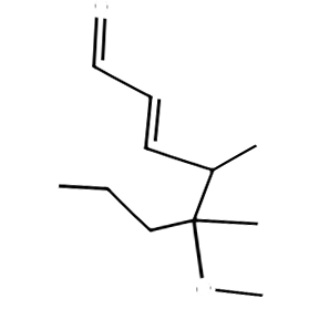 CCCC(C)(OC)C(C)C=CC=O